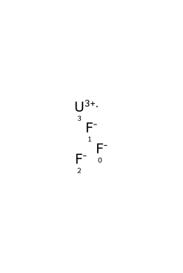 [F-].[F-].[F-].[U+3]